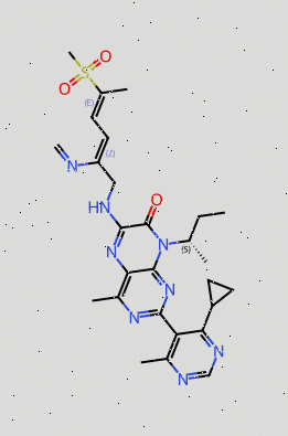 C=N/C(=C\C=C(/C)S(C)(=O)=O)CNc1nc2c(C)nc(-c3c(C)ncnc3C3CC3)nc2n([C@@H](C)CC)c1=O